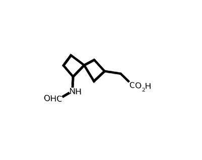 O=CNC1CCC12CC(CC(=O)O)C2